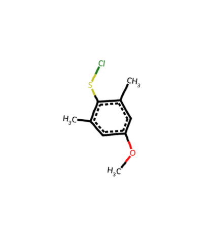 COc1cc(C)c(SCl)c(C)c1